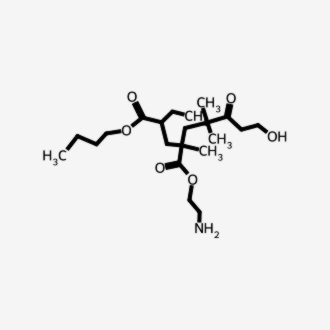 CCCCOC(=O)C(CC)CC(C)(CC(C)(C)C(=O)CCO)C(=O)OCCN